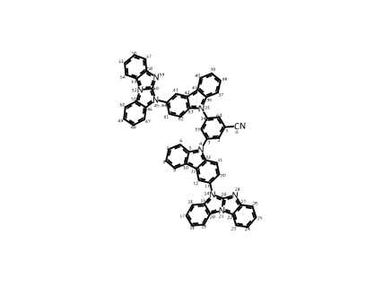 N#Cc1cc(-n2c3ccccc3c3cc(-n4c5ccccc5n5c6ccccc6nc45)ccc32)cc(-n2c3ccccc3c3cc(-n4c5ccccc5n5c6ccccc6nc45)ccc32)c1